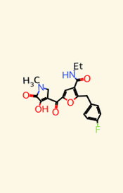 CCNC(=O)c1cc(C(=O)C2=C(O)C(=O)N(C)C2)oc1Cc1ccc(F)cc1